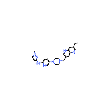 CCc1cnc2cc(CN3CCN(c4ccc(Nc5ccn(C)n5)nc4)CC3)cnc2c1